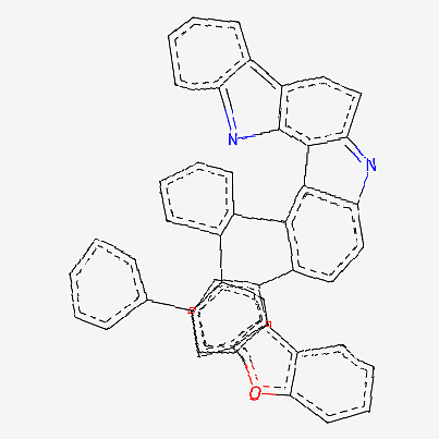 c1ccc(-c2ccccc2-c2ccccc2-c2c(-c3cccc4oc5ccccc5c34)ccc3c2-c2c4c(ccc2=N3)=c2ccccc2=N4)cc1